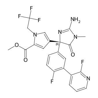 COC(=O)c1cc([C@@]2(c3ccc(F)c(-c4cccnc4F)c3)N=C(N)N(C)C2=O)cn1CC(F)(F)F